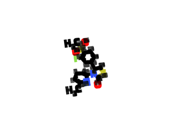 Cc1cccc(-n2c(-c3ccc(S(C)(=O)=O)c(F)c3)csc2=O)n1